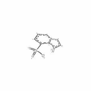 O=S(=O)(Cl)c1cccc2cc[nH]c12